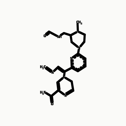 C=N/C=C(/c1cccc(N2CCN(C)C(CNC=O)C2)n1)N1C=C(C(N)=O)N=CC1